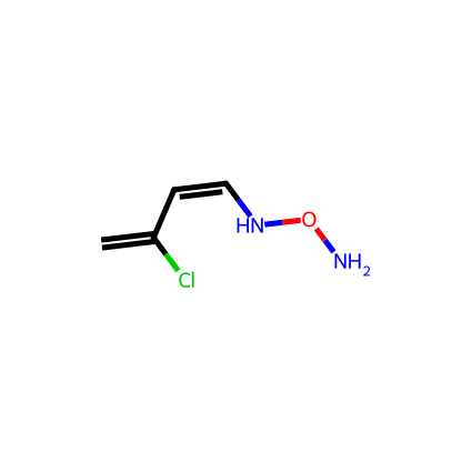 C=C(Cl)/C=C\NON